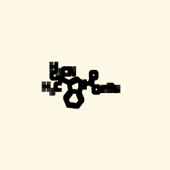 CCCCOC(=O)n1cc(C(C)(C)C#N)c2ccccc21